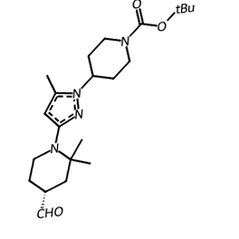 Cc1cc(N2CC[C@@H](C=O)CC2(C)C)nn1C1CCN(C(=O)OC(C)(C)C)CC1